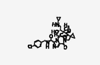 CC(C)([C@H](O)CNC1CC1)S(=O)(=O)C1(CN2CCn3c(cnc3C(=O)NCc3ccc(Cl)cc3)C2=O)CC1